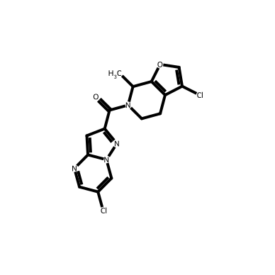 CC1c2occ(Cl)c2CCN1C(=O)c1cc2ncc(Cl)cn2n1